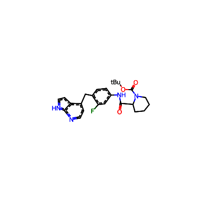 CC(C)(C)OC(=O)N1CCCCC1C(=O)Nc1ccc(Cc2ccnc3[nH]ccc23)c(F)c1